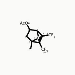 CC(=O)OC1CC2(C)OC1C(C(F)(F)F)=C2C(F)(F)F